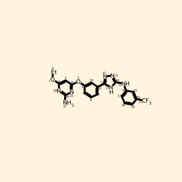 CCOc1cc(Oc2cccc(-c3nnc(Nc4cccc(C(F)(F)F)c4)[nH]3)c2)nc(N)n1